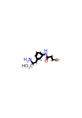 NC(Cc1cccc(NC(=O)CCBr)c1)C(=O)O